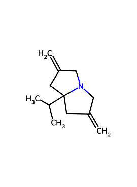 C=C1CN2CC(=C)CC2(C(C)C)C1